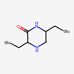 CC(C)(C)CC1CNC(CC(C)(C)C)C(=O)N1